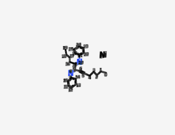 CCCCCC#CC(=N\c1ccccc1)/C(CCCC)=N/c1ccccc1.[Ni]